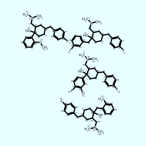 CN(C)CC1CC(Cc2ccc(F)cc2)CCC1(O)Cc1cccc(F)c1.CN(C)CC1CC(Cc2ccc(F)cc2)CCC1(O)c1ccc(F)c(Cl)c1.COc1ccccc1C1(O)CCC(Cc2ccc(F)cc2)CC1CN(C)C.Cc1ccccc1CC1(O)CCC(Cc2ccc(F)cc2)CC1CN(C)C